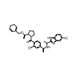 C=C(NC(C)c1nc2cc(Cl)ccc2[nH]1)c1ccc(C(=O)N2CCCC2C(=C)OCC2=CCCC=C2)c(Cl)c1